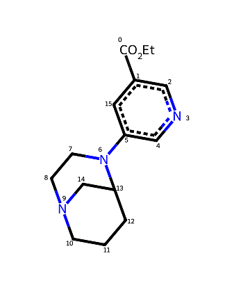 CCOC(=O)c1cncc(N2CCN3CCCC2C3)c1